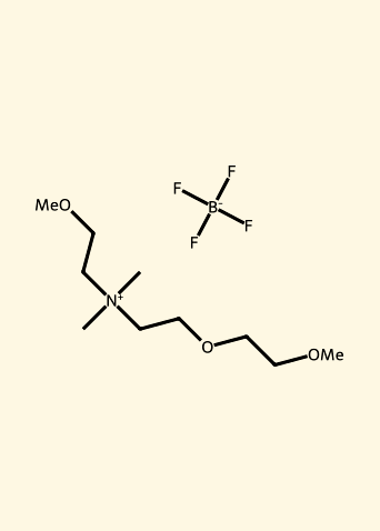 COCCOCC[N+](C)(C)CCOC.F[B-](F)(F)F